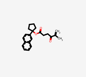 C=C(C)C(=O)CCC(=O)OC1(c2ccc3ccccc3c2)CCCC1